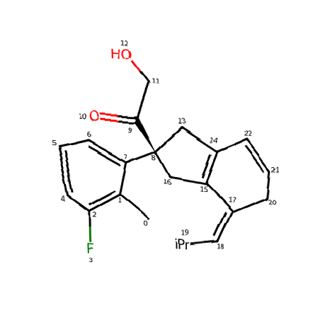 Cc1c(F)cccc1[C@]1(C(=O)CO)CC2=C(C1)/C(=C\C(C)C)CC=C2